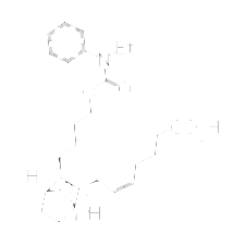 CCN(C(=O)OCCCC[C@H]1[C@@H](C/C=C\CCCC(=O)O)[C@H]2CC[C@@H]1O2)c1ccccc1